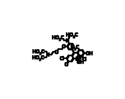 Cc1cc(O)c(Cl)cc1/C(=C1/C=C(Cl)C(=O)C=C1B(O)O)c1ccc(N(CC(=O)O)CC(=O)O)c(OCCOCCN(CC(=O)O)CC(=O)O)c1